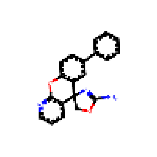 NC1=NC2(CO1)c1cc(-c3ccccc3)ccc1Oc1ncccc12